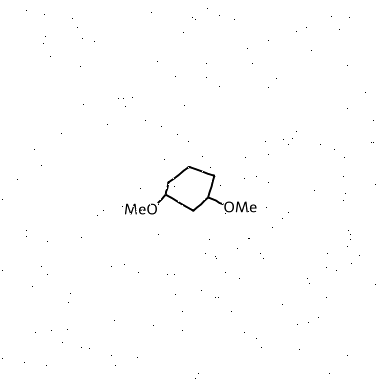 COC1CCCC(OC)C1